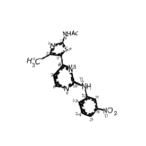 CC(=O)Nc1nc(C)c(-c2ccnc(Nc3cccc([N+](=O)[O-])c3)n2)s1